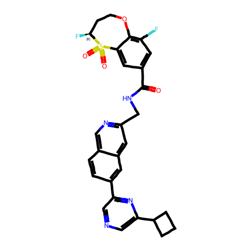 O=C(NCc1cc2cc(-c3cncc(C4CCC4)n3)ccc2cn1)c1cc(F)c2c(c1)S(=O)(=O)[C@@H](F)CCO2